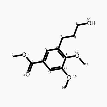 COC(=O)c1cc(CCCO)c(OC)c(OC)c1